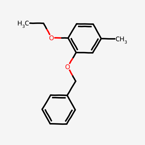 CCOc1ccc(C)cc1OCc1ccccc1